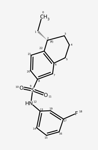 CC[C@@H]1CCCc2cc(S(=O)(=O)Nc3cccc(F)c3)ccc21